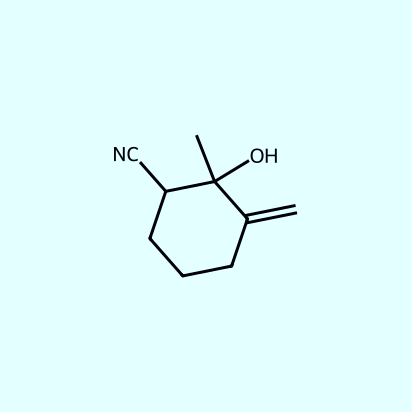 C=C1CCCC(C#N)C1(C)O